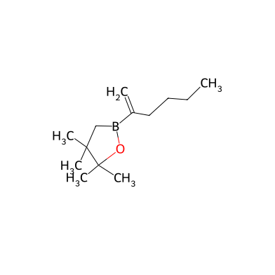 C=C(CCCC)B1CC(C)(C)C(C)(C)O1